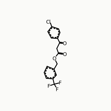 O=C(CC(=O)c1ccc(Cl)cc1)OCc1cccc(C(F)(F)F)c1